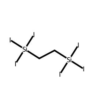 I[Si](I)(I)CC[Si](I)(I)I